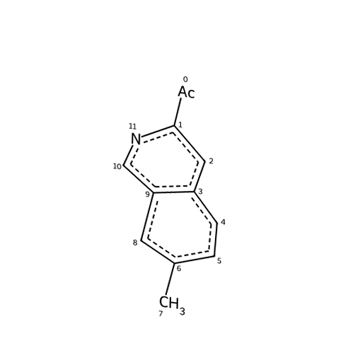 CC(=O)c1cc2ccc(C)cc2cn1